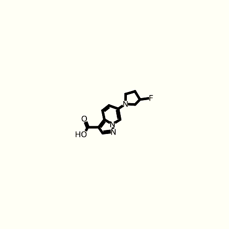 O=C(O)c1cnn2cc(N3CCC(F)C3)ccc12